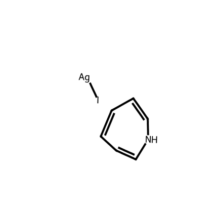 C1=CC=CNC=C1.[Ag][I]